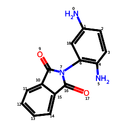 Nc1ccc(N)c(N2C(=O)c3ccccc3C2=O)c1